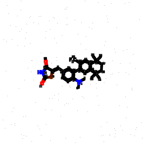 CN(C)c1ccc(/C=C2\SC(=O)NC2=O)cc1-c1cc2c(cc1C(F)(F)F)C(C)(C)CCC2(C)C